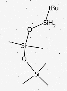 CC(C)(C)[SiH2]O[Si](C)(C)O[Si](C)(C)C